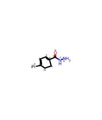 CC(C)C1=CC=C(C(=O)NN)CC1